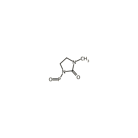 CN1CCN(P=O)C1=O